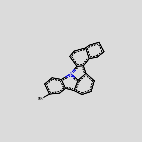 CC(C)(C)c1ccc2c(c1)c1cccc3c4c5ccccc5ccc4n2c13